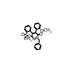 COc1ccccc1-c1c(-c2ccccc2S(C)(=O)=O)cnn(Cc2ccccc2)c1=O